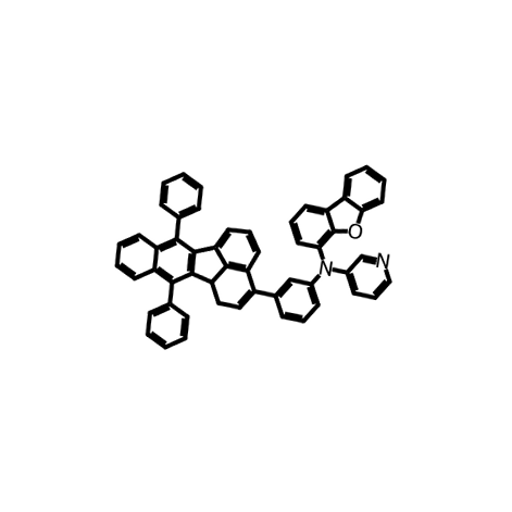 C1=C(c2cccc(N(c3cccnc3)c3cccc4c3oc3ccccc34)c2)c2cccc3c2C(C1)c1c-3c(-c2ccccc2)c2ccccc2c1-c1ccccc1